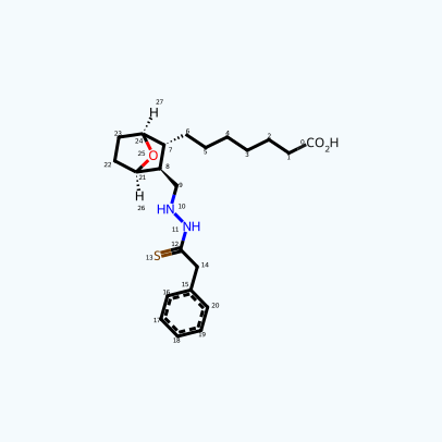 O=C(O)CCCCCC[C@@H]1[C@@H](CNNC(=S)Cc2ccccc2)[C@H]2CC[C@@H]1O2